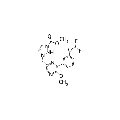 COC(=O)N1C=CN(Cc2cnc(OC)c(-c3cccc(OC(F)F)c3)n2)N1